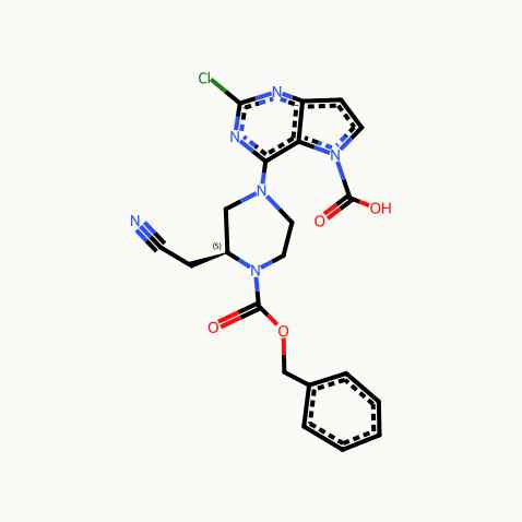 N#CC[C@H]1CN(c2nc(Cl)nc3ccn(C(=O)O)c23)CCN1C(=O)OCc1ccccc1